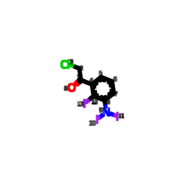 O=C(CCl)c1cccc(N(I)I)c1I